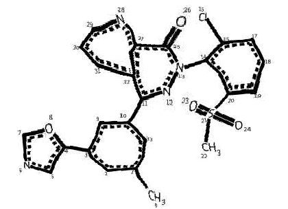 Cc1cc(-c2cnco2)cc(-c2nn(-c3c(Cl)cccc3S(C)(=O)=O)c(=O)c3ncccc23)c1